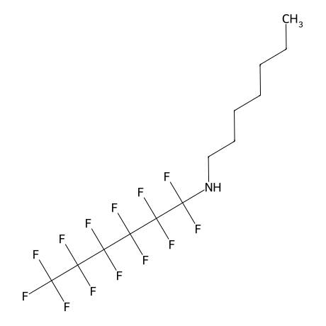 CCCCCCCNC(F)(F)C(F)(F)C(F)(F)C(F)(F)C(F)(F)C(F)(F)F